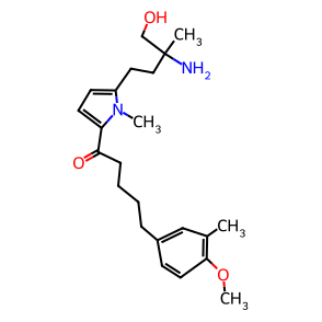 COc1ccc(CCCCC(=O)c2ccc(CCC(C)(N)CO)n2C)cc1C